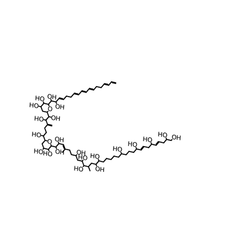 C=C/C=C/CC/C=C/C=C/C=C/CC/C=C/C(O)C(O)C1OC(C(O)C(O)C(=C)CCC(O)C2CC(O)C(O)C(C(O)C(O)/C=C(\C)CCC(O)CC(O)C(O)C(C)CC(O)C(O)CCCCCC(O)CCCC(O)/C=C/CC(O)/C=C/CC(O)CO)O2)CC(O)C1O